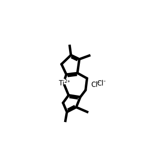 CC1=C(C)C2=[C](C1)[Ti+2][C]1=C(CC2)C(C)=C(C)C1.[Cl-].[Cl-]